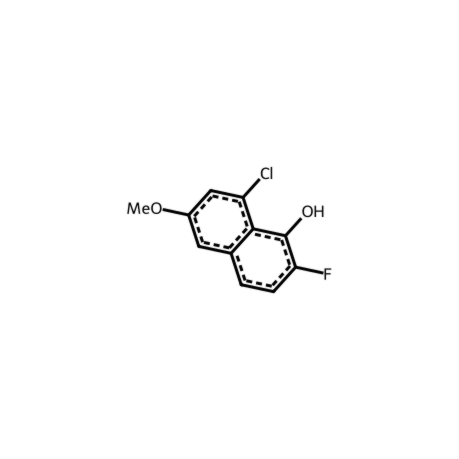 COc1cc(Cl)c2c(O)c(F)ccc2c1